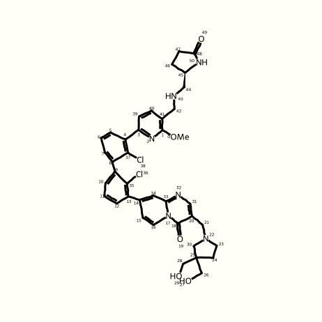 COc1nc(-c2cccc(-c3cccc(-c4ccn5c(=O)c(CN6CCC(CO)(CO)C6)cnc5c4)c3Cl)c2Cl)ccc1CNC[C@H]1CCC(=O)N1